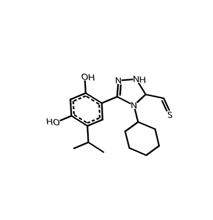 CC(C)c1cc(C2=NNC(C=S)N2C2CCCCC2)c(O)cc1O